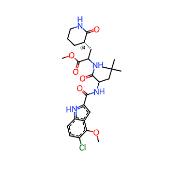 COC(=O)C(C[C@@H]1CCCNC1=O)NC(=O)C(CC(C)(C)C)NC(=O)c1cc2c(OC)c(Cl)ccc2[nH]1